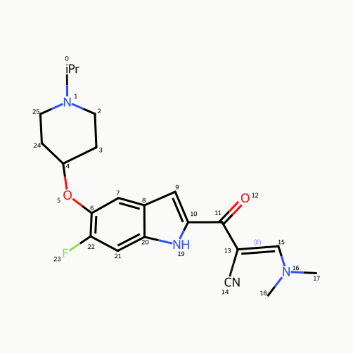 CC(C)N1CCC(Oc2cc3cc(C(=O)/C(C#N)=C/N(C)C)[nH]c3cc2F)CC1